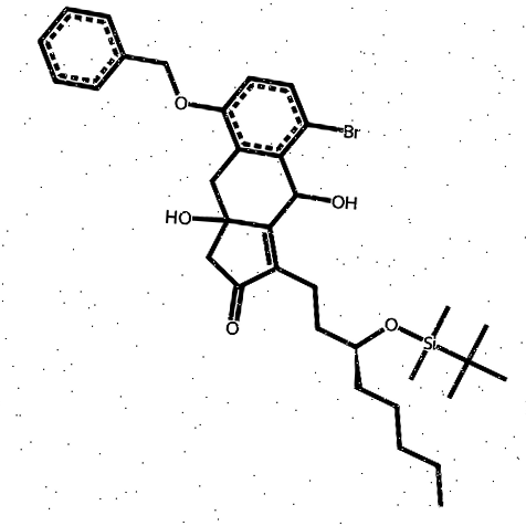 CCCCC[C@@H](CCC1=C2C(O)c3c(Br)ccc(OCc4ccccc4)c3CC2(O)CC1=O)O[Si](C)(C)C(C)(C)C